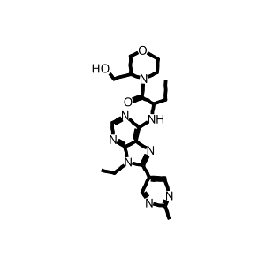 CCC(Nc1ncnc2c1nc(-c1cnc(C)nc1)n2CC)C(=O)N1CCOCC1CO